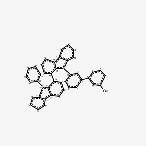 N#Cc1cccc(-c2cccc(-n3c4ccccc4c4cccc(-c5cccc6c7ccccc7n(-c7ccccc7)c56)c43)c2)c1